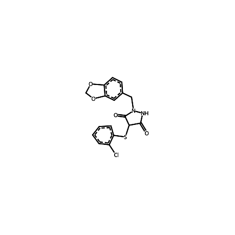 O=C1NN(Cc2ccc3c(c2)OCO3)C(=O)C1Sc1ccccc1Cl